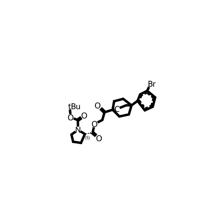 CC(C)(C)OC(=O)N1CCC[C@H]1C(=O)OCC(=O)C12CCC(c3cccc(Br)c3)(CC1)CC2